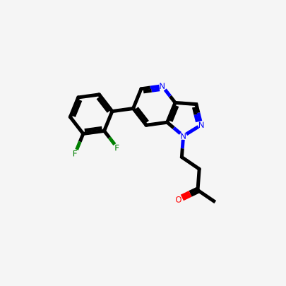 CC(=O)CCn1ncc2ncc(-c3cccc(F)c3F)cc21